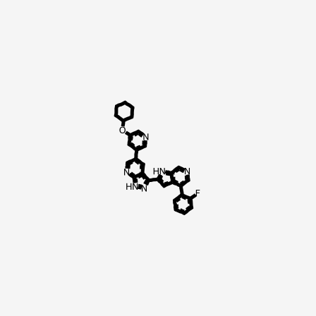 Fc1ccccc1-c1cncc2[nH]c(-c3n[nH]c4ncc(-c5cncc(OC6CCCCC6)c5)cc34)cc12